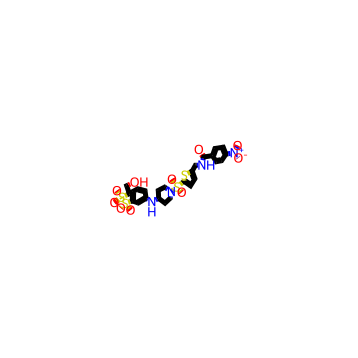 O=C(NCc1ccc(S(=O)(=O)N2CCC(Nc3cccc(S(=O)(=O)S(=O)(=O)CCO)c3)CC2)s1)c1ccc([N+](=O)[O-])cc1